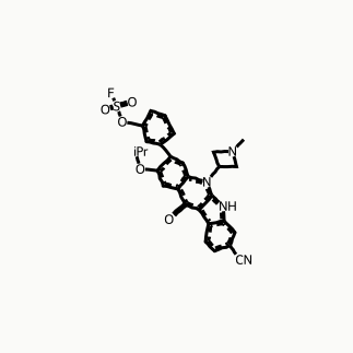 CC(C)Oc1cc2c(=O)c3c4ccc(C#N)cc4[nH]c3n(C3CN(C)C3)c2cc1-c1cccc(OS(=O)(=O)F)c1